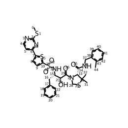 CSc1nccc(-c2ccc(S(=O)(=O)N[C@@H](Cc3ccccc3)[C@H](O)C(=O)N3CSC(C)(C)[C@H]3C(=O)NCc3ccccc3C)s2)n1